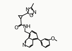 COc1cccc(-c2ccc(CNC(=O)C3CC3c3nc(C)no3)c3cnccc23)c1